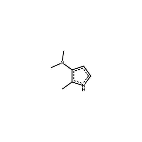 Cc1[nH]ccc1N(C)C